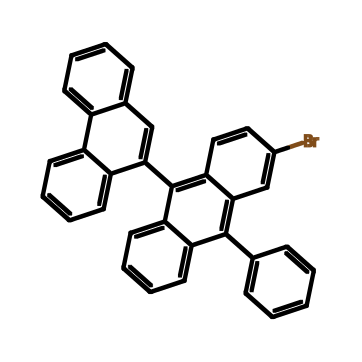 Brc1ccc2c(-c3cc4ccccc4c4ccccc34)c3ccccc3c(-c3ccccc3)c2c1